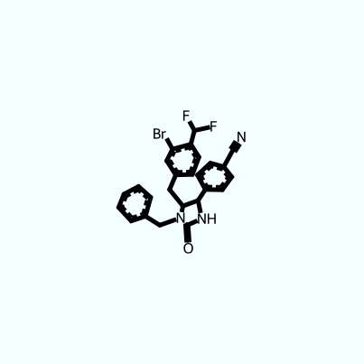 N#Cc1ccc(C2NC(=O)N(Cc3ccccc3)C2Cc2ccc(C(F)F)c(Br)c2)cc1